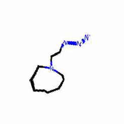 [N-]=[N+]=NCCN1CCCCCC1